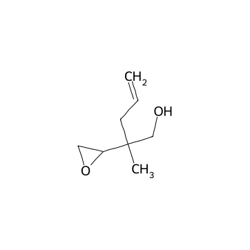 C=CCC(C)(CO)C1CO1